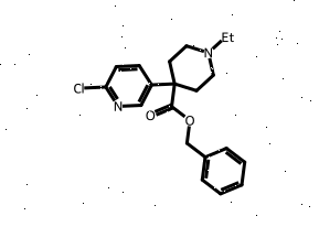 CCN1CCC(C(=O)OCc2ccccc2)(c2ccc(Cl)nc2)CC1